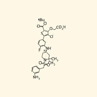 CC(C)(C)OC(=O)c1sc(-c2ccc(F)c(N[C@@H]3CCN(S(=O)(=O)Cc4cccc(N)c4)C(C)(C)C3)c2)c(Cl)c1OCC(=O)O